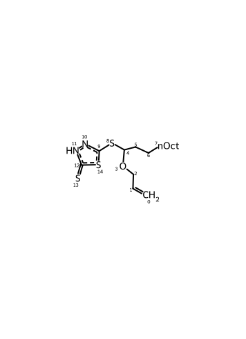 C=CCOC(CCCCCCCCCC)Sc1n[nH]c(=S)s1